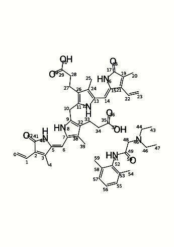 C=CC1=C(C)/C(=C/c2[nH]c(Cc3[nH]c(/C=C4\NC(=O)C(C)=C4C=C)c(C)c3CCC(=O)O)c(CCC(=O)O)c2C)NC1=O.CCN(CC)CC(=O)Nc1c(C)cccc1C